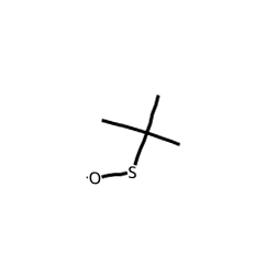 CC(C)(C)S[O]